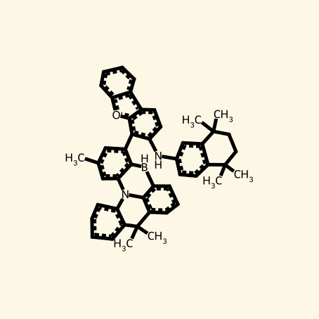 Cc1cc(-c2c(Nc3ccc4c(c3)C(C)(C)CCC4(C)C)ccc3c2oc2ccccc23)c2c(c1)N1c3ccccc3C(C)(C)c3cccc(c31)B2